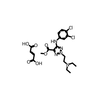 CCN(CC)CCn1nc(Nc2ccc(Cl)c(Cl)c2)c(C(=O)OC)n1.O=C(O)C=CC(=O)O